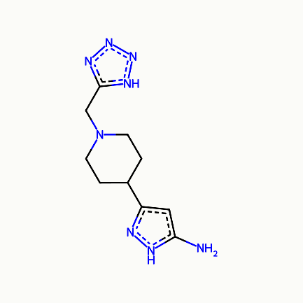 Nc1cc(C2CCN(Cc3nnn[nH]3)CC2)n[nH]1